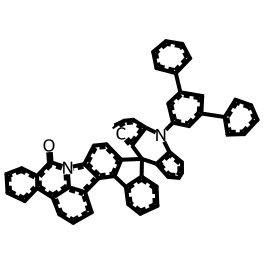 O=c1c2ccccc2c2cccc3c4c5c(ccc4n1c23)C1(c2ccccc2-5)c2ccccc2N(c2cc(-c3ccccc3)cc(-c3ccccc3)c2)c2ccccc21